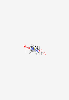 CC1(C)CC(OCC2CO2)CC(C)(C)N1SSN1C(C)(C)CC(OCC2CO2)CC1(C)C